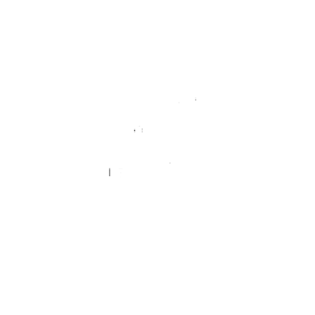 O=[C]CC(=O)c1ccccc1S